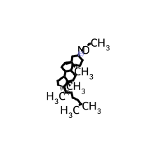 CCO/N=C1\CC[C@@]2(C)C(=CCC3C2CC[C@@]2(C)C3CC[C@@H]2[C@H](C)CCCC(C)C)C1